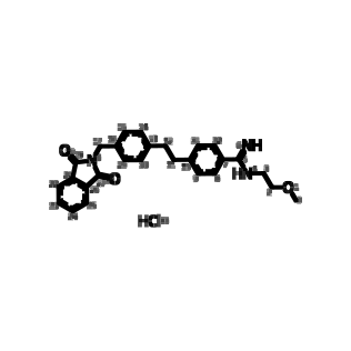 COCCNC(=N)c1ccc(CCc2ccc(CN3C(=O)c4ccccc4C3=O)cc2)cc1.Cl